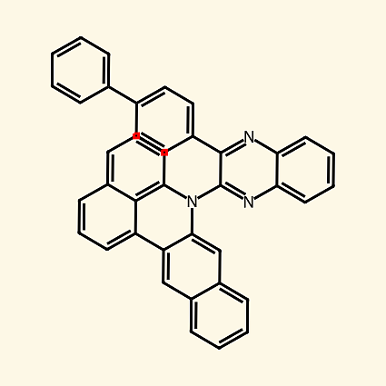 c1ccc(-c2ccc(-c3nc4ccccc4nc3N3c4cc5ccccc5cc4-c4cccc5cccc3c45)cc2)cc1